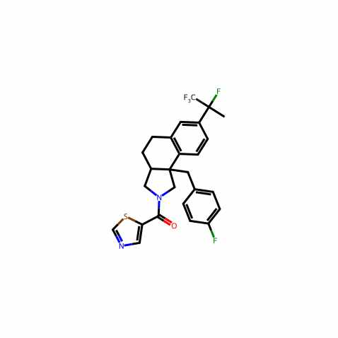 CC(F)(c1ccc2c(c1)CCC1CN(C(=O)c3cncs3)CC21Cc1ccc(F)cc1)C(F)(F)F